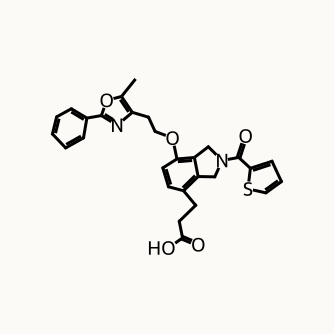 Cc1oc(-c2ccccc2)nc1CCOc1ccc(CCC(=O)O)c2c1CN(C(=O)c1cccs1)C2